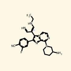 N#Cc1ccc(-c2nc3c(N4CCCC(N)C4)nccn3c2/C(C=N)=C/NCC(F)(F)F)cc1F